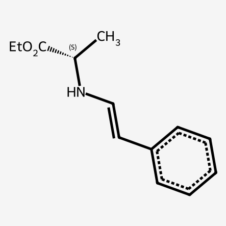 CCOC(=O)[C@H](C)NC=Cc1ccccc1